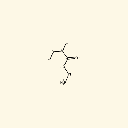 CCC(C)C(=O)OPP